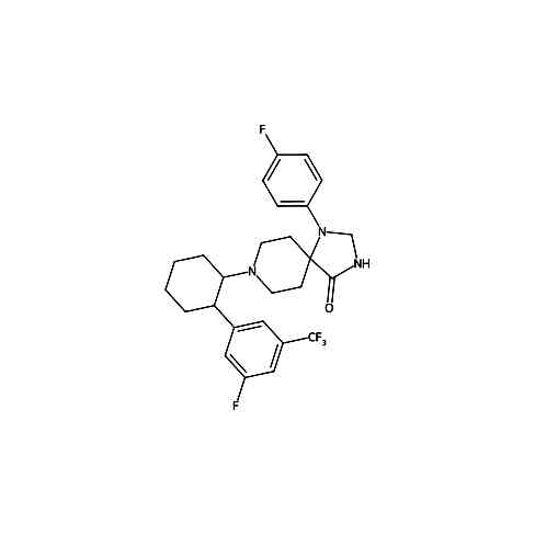 O=C1NCN(c2ccc(F)cc2)C12CCN(C1CCCCC1c1cc(F)cc(C(F)(F)F)c1)CC2